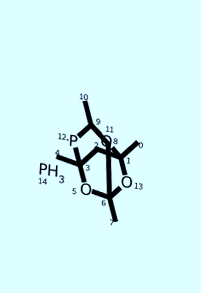 CC12CC3(C)OC(C)(CC(C)(O1)[P]3)O2.P